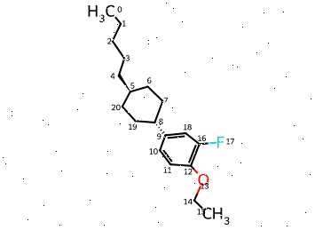 CCCCC[C@H]1CC[C@H](c2ccc(OCC)c(F)c2)CC1